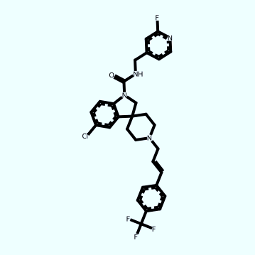 O=C(NCc1ccnc(F)c1)N1CC2(CCN(CC=Cc3ccc(C(F)(F)F)cc3)CC2)c2cc(Cl)ccc21